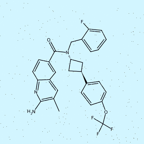 Cc1cc2cc(C(=O)N(Cc3ccccc3F)[C@H]3C[C@H](c4ccc(OC(F)(F)F)cc4)C3)ccc2nc1N